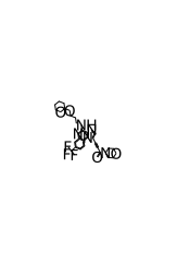 O=C(C#Cc1cnc2c(NCCCOC3CCCCO3)nc3cc(C(F)(F)F)ccc3n12)N1CCOCC1